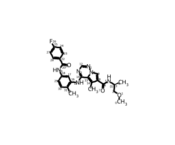 COC[C@H](C)NC(=O)c1cn2ncnc(Nc3cc(NC(=O)c4ccc(F)cc4)ccc3C)c2c1C